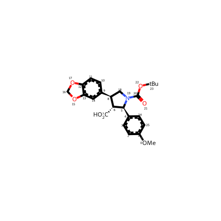 COc1ccc([C@H]2[C@H](C(=O)O)[C@@H](c3ccc4c(c3)OCO4)CN2C(=O)OC(C)(C)C)cc1